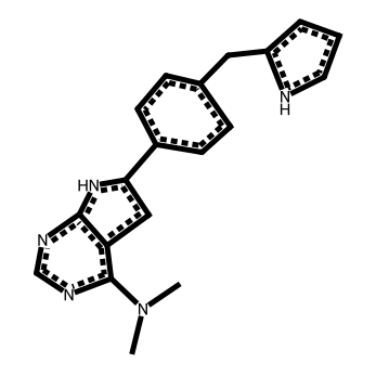 CN(C)c1ncnc2[nH]c(-c3ccc(Cc4ccc[nH]4)cc3)cc12